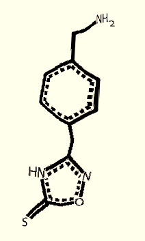 NCc1ccc(-c2noc(=S)[nH]2)cc1